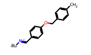 CCC(C)/N=C/c1ccc(OCc2ccc(C)cc2)cc1